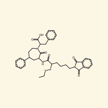 CCSSC(CCCCN1C(=O)c2ccccc2C1=O)C(=O)NC1CC(c2ccccc2)CCN(C(Cc2ccccc2)C(=O)O)C1=O